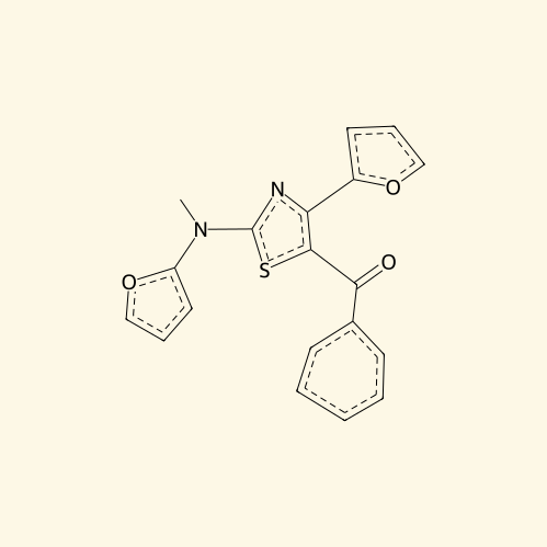 CN(c1ccco1)c1nc(-c2ccco2)c(C(=O)c2ccccc2)s1